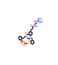 N=C(N)NCCNC(=O)CCc1ccc2c(c1)C(=O)N(CCc1ccccc1C(=O)OC(=O)C(F)(F)F)CC(=O)N2Cc1ccccc1